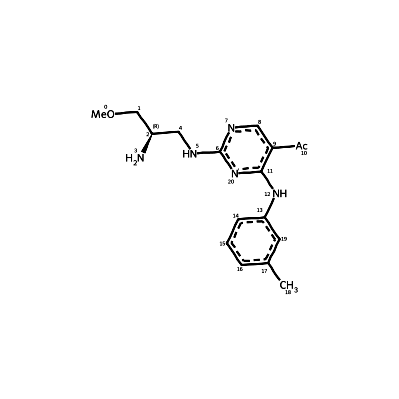 COC[C@H](N)CNc1ncc(C(C)=O)c(Nc2cccc(C)c2)n1